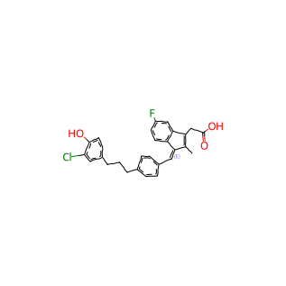 CC1=C(CC(=O)O)c2cc(F)ccc2/C1=C\c1ccc(CCCc2ccc(O)c(Cl)c2)cc1